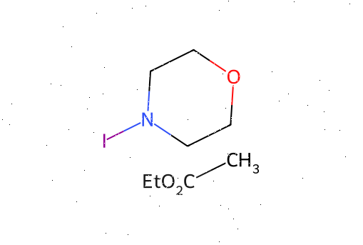 CCOC(C)=O.IN1CCOCC1